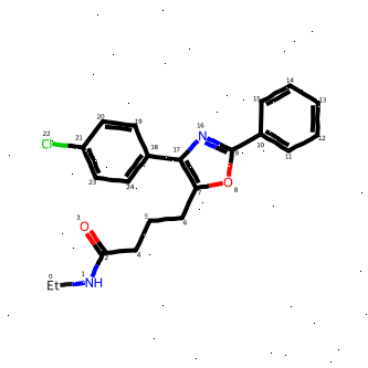 CCNC(=O)CCCc1oc(-c2ccccc2)nc1-c1ccc(Cl)cc1